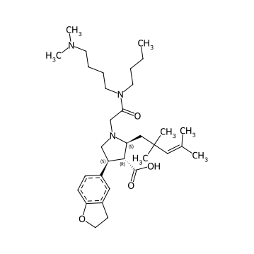 CCCCN(CCCCN(C)C)C(=O)CN1C[C@H](c2ccc3c(c2)CCO3)[C@@H](C(=O)O)[C@@H]1CC(C)(C)C=C(C)C